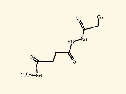 CCC(=O)NNC(=O)CCC(=O)NC